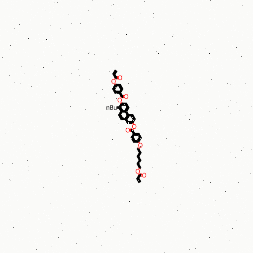 C=CC(=O)OCCCCCCOc1ccc(C(=O)Oc2ccc3c(ccc4c(CCCC)c(OC(=O)c5ccc(OC(=O)C=C)cc5)ccc43)c2)cc1